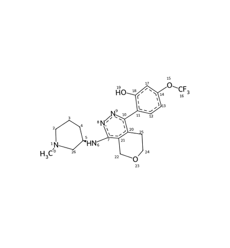 CN1CCC[C@@H](Nc2nnc(-c3ccc(OC(F)(F)F)cc3O)c3c2COCC3)C1